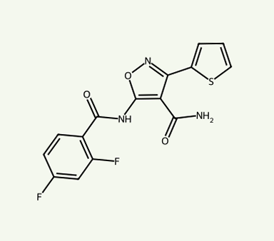 NC(=O)c1c(-c2cccs2)noc1NC(=O)c1ccc(F)cc1F